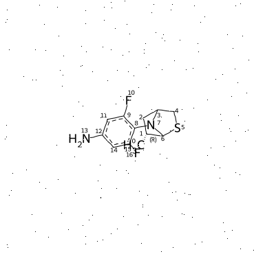 C[C@@H]1CC2CSC1N2c1c(F)cc(N)cc1F